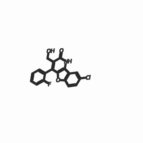 O=c1[nH]c2c(oc3ccc(Cl)cc32)c(-c2ccccc2F)c1CO